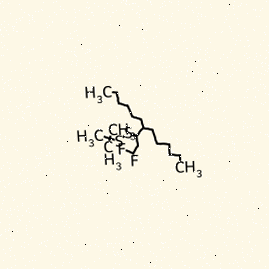 CCCCCCC(CCCCCC)C(CC(F)F)SSC(C)(C)C